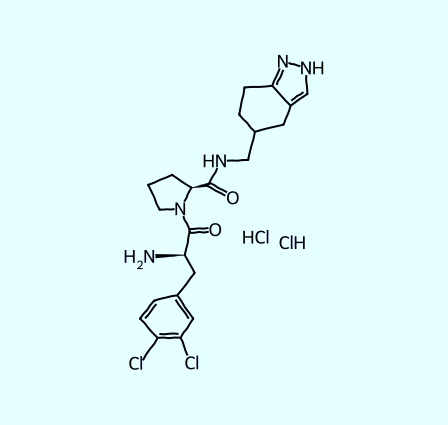 Cl.Cl.N[C@H](Cc1ccc(Cl)c(Cl)c1)C(=O)N1CCC[C@H]1C(=O)NCC1CCc2n[nH]cc2C1